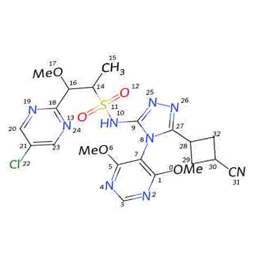 COc1ncnc(OC)c1-n1c(NS(=O)(=O)C(C)C(OC)c2ncc(Cl)cn2)nnc1C1CC(C#N)C1